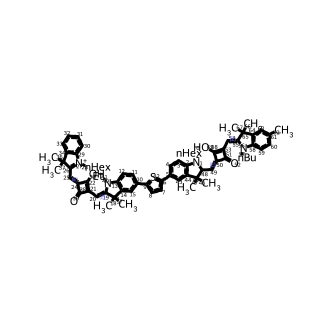 CCCCCCN1c2ccc(-c3ccc(-c4ccc5c(c4)C(C)(C)/C(=C/C4=C(O)C(=C\C6=[N+](CCCCCC)c7ccccc7C6(C)C)/C4=O)N5CC)s3)cc2C(C)(C)C1/C=C1/C(=O)C(/C=C2\N(CCCC)c3ccc(C)cc3C2(C)C)=C1O